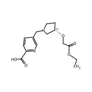 CCOC(=O)CO[C@H]1CCN(Cc2ccc(C(=O)O)nc2)C1